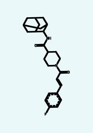 O=C(NC1C2CC3CC(C2)CC1C3)C1CCN(C(=O)C=Cc2ccc(F)cc2)CC1